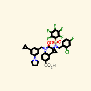 CC(C(=O)N(Cc1cc(C2CC2)cc(N2CCCC2)c1)c1ccc(C(=O)O)cc1C1CC1)N(Cc1ccc(F)cc1Cl)S(=O)(=O)c1c(F)c(F)c(F)c(F)c1F